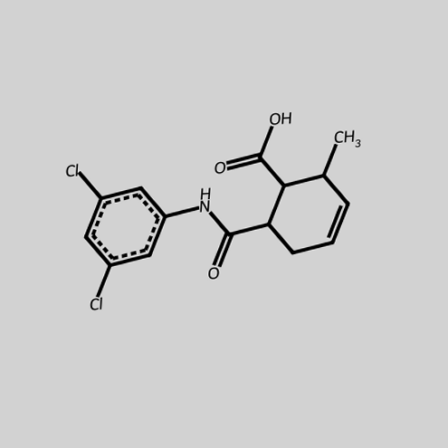 CC1C=CCC(C(=O)Nc2cc(Cl)cc(Cl)c2)C1C(=O)O